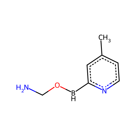 Cc1ccnc(BOCN)c1